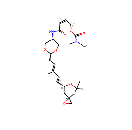 CCCN(C)C(=O)O[C@@H](C)/C=C\C(=O)N[C@H]1CO[C@@H](C/C=C(C)/C=C/[C@@H]2C[C@]3(CO3)CC(C)(C)O2)OC1